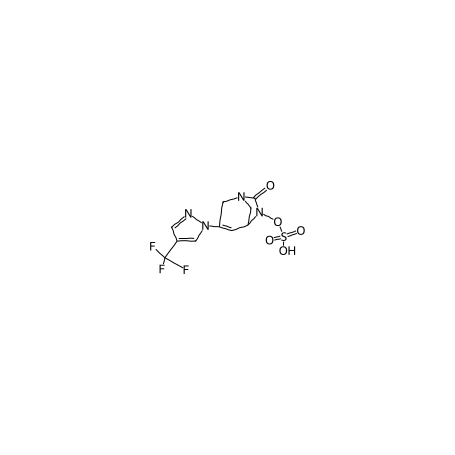 O=C1N2CC(n3cc(C(F)(F)F)cn3)=CC(C2)N1OS(=O)(=O)O